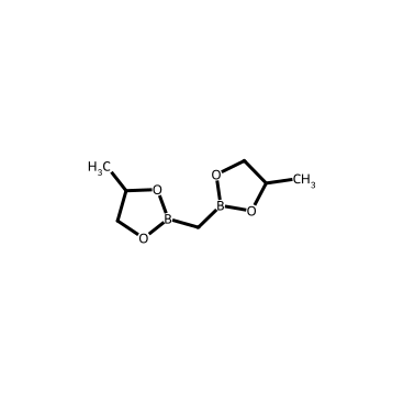 CC1COB(CB2OCC(C)O2)O1